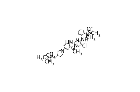 COc1cc(N2CCC(CC(=O)OC(C)(C)C)CC2)ccc1Nc1ncc(Cl)c(Nc2ccccc2N(C)[S+](C)[O-])n1